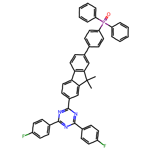 CC1(C)c2cc(-c3ccc(P(=O)(c4ccccc4)c4ccccc4)cc3)ccc2-c2ccc(-c3nc(-c4ccc(F)cc4)nc(-c4ccc(F)cc4)n3)cc21